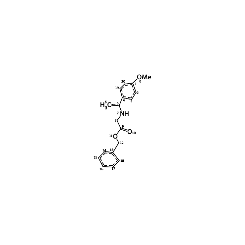 COc1ccc([C@H](C)NCC(=O)OCc2ccccc2)cc1